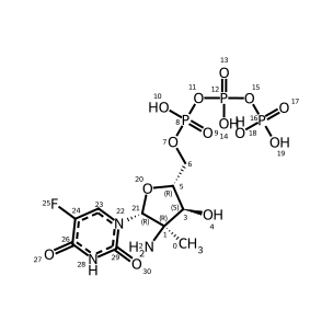 C[C@@]1(N)[C@H](O)[C@@H](COP(=O)(O)OP(=O)(O)OP(=O)(O)O)O[C@H]1n1cc(F)c(=O)[nH]c1=O